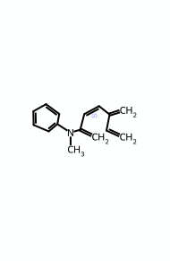 C=CC(=C)/C=C\C(=C)N(C)c1ccccc1